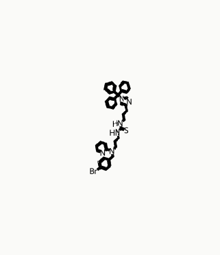 S=C(NCCCc1cn(C(c2ccccc2)(c2ccccc2)c2ccccc2)cn1)NCCCN(Cc1ccc(Br)cc1)c1ccccn1